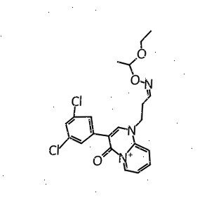 CCOC(C)O/N=C\CCn1cc(-c2cc(Cl)cc(Cl)c2)c(=O)[n+]2ccccc12